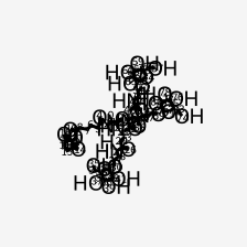 C[C@H](NC(=O)CCCCC(=O)ON1C(=O)CCC1=O)C(=O)N[C@@H](CCC(=O)NCCO[C@H]1O[C@H](CO)[C@@H](O)[C@H](O)[C@@H]1O)C(=O)N[C@@H](CC(=O)NCCO[C@H]1O[C@H](CO)[C@@H](O)[C@H](O)[C@@H]1O)C(=O)NCCO[C@H]1O[C@H](CO)[C@@H](O)[C@H](O)[C@@H]1O